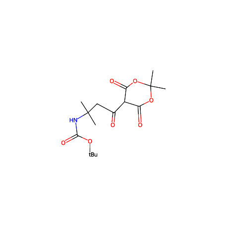 CC(C)(CC(=O)C1C(=O)OC(C)(C)OC1=O)NC(=O)OC(C)(C)C